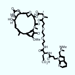 CNN(C)Cc1cc2cccnc2n1CCC(=O)N[C@@H](CCC(=O)O)C(=O)NCCOCCOCCC(=O)N(C)[C@@H](C)C(=O)O[C@H]1CC(=O)N(C)c2cc(cc(OC)c2Cl)C/C(C)=C/C=C/[C@@H](O)[C@@]2(O)C[C@H](OC(=O)N2)C2(C)C[C@@]1(C)O2